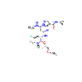 C=N/C(OCCOC)=C(\C=C(/C)F)Nc1cc(NC)n2ncc(C(=O)NC3CC3)c2n1